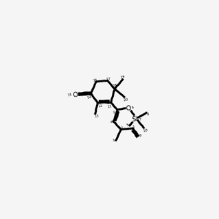 C=CC(C)C=C(O[Si](C)(C)C)C1=C(C)C(=O)CCC1(C)C